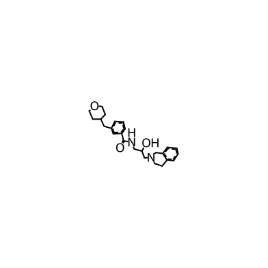 O=C(NCC(O)CN1CCc2ccccc2C1)c1cccc(CC2CCOCC2)c1